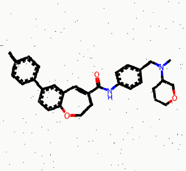 Cc1ccc(-c2ccc3c(c2)C=C(C(=O)Nc2ccc(CN(C)C4CCCOC4)cc2)CCO3)cc1